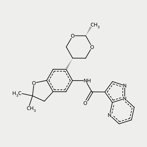 CC1(C)Cc2cc(NC(=O)c3cnn4cccnc34)c([C@H]3CO[C@@H](C)OC3)cc2O1